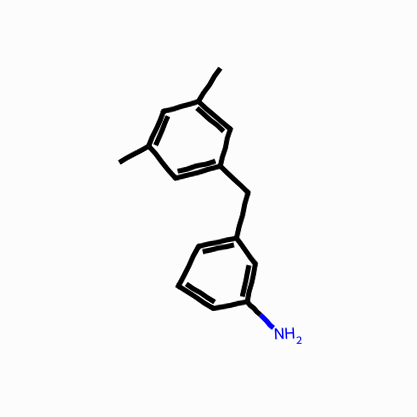 Cc1cc(C)cc(Cc2cccc(N)c2)c1